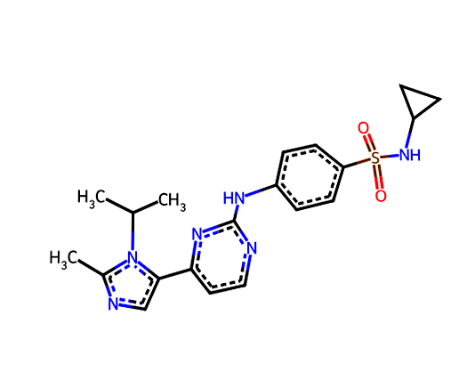 Cc1ncc(-c2ccnc(Nc3ccc(S(=O)(=O)NC4CC4)cc3)n2)n1C(C)C